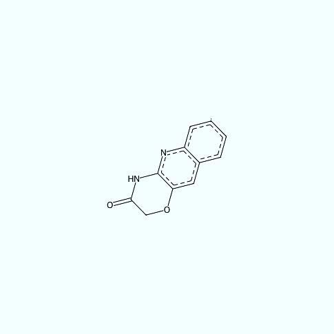 O=C1COc2cc3cc[c]cc3nc2N1